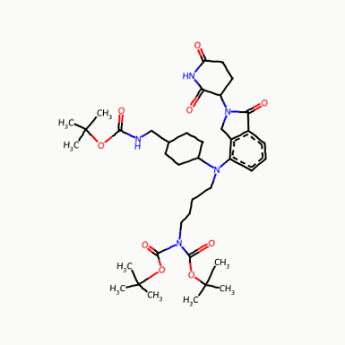 CC(C)(C)OC(=O)NCC1CCC(N(CCCCN(C(=O)OC(C)(C)C)C(=O)OC(C)(C)C)c2cccc3c2CN(C2CCC(=O)NC2=O)C3=O)CC1